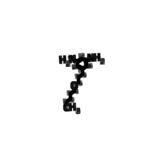 CCCCCOCCCc1cc(N)cc(N)c1